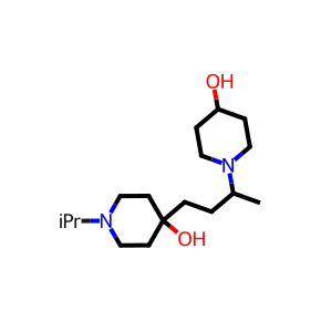 CC(C)N1CCC(O)(CCC(C)N2CCC(O)CC2)CC1